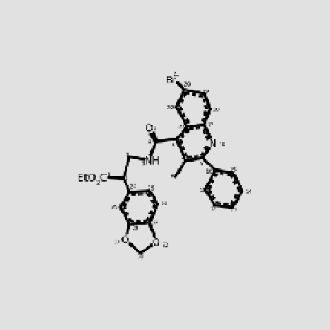 CCOC(=O)C(CNC(=O)c1c(C)c(-c2ccccc2)nc2ccc(Br)cc12)c1ccc2c(c1)OCO2